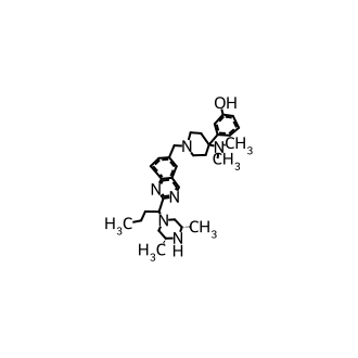 CCCC(c1ncc2cc(CN3CCC(c4cccc(O)c4)(N(C)C)CC3)ccc2n1)N1C[C@@H](C)N[C@@H](C)C1